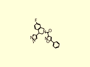 Cn1cc(C2CN(C(=O)c3cc(-c4ccccc4)on3)Cc3cc(F)ccc32)cn1